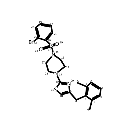 Cc1cccc(C)c1Cc1csc(N2CCN(S(=O)(=O)c3ccccc3Br)CC2)n1